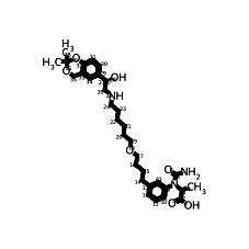 CC(C(=O)O)N(C(N)=O)c1cccc(CCCCOCCCCCCNC[C@H](O)c2ccc3c(c2)COC(C)(C)O3)c1